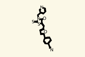 N#Cc1ccc(-c2ccc(/C=C3\SC(=S)N(Cc4cccnc4)C3=O)o2)cc1